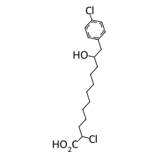 O=C(O)C(Cl)CCCCCCCCC(O)Cc1ccc(Cl)cc1